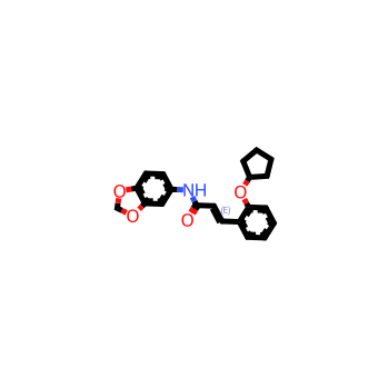 O=C(/C=C/c1ccccc1OC1CCCC1)Nc1ccc2c(c1)OCO2